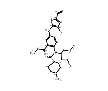 COCC(COC)N(c1ccc(Oc2sc(C=O)cc2Br)cc1C(=O)OC)C(=O)[C@H]1CC[C@H](C)CC1